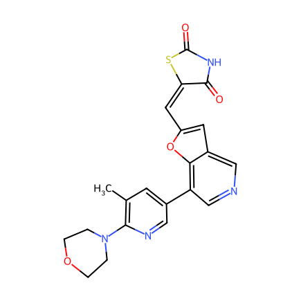 Cc1cc(-c2cncc3cc(C=C4SC(=O)NC4=O)oc23)cnc1N1CCOCC1